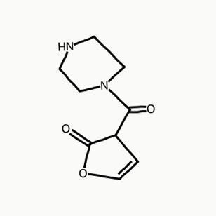 O=C1OC=CC1C(=O)N1CCNCC1